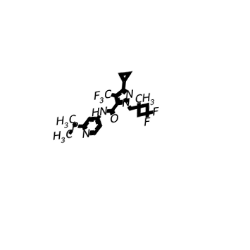 CP(C)c1cc(NC(=O)c2c(C(F)(F)F)c(C3CC3)nn2CC2(C)CC(F)(F)C2)ccn1